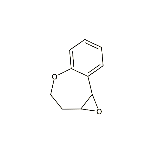 c1ccc2c(c1)OCCC1OC21